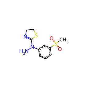 CS(=O)(=O)c1cccc(N(N)C2=NCCS2)c1